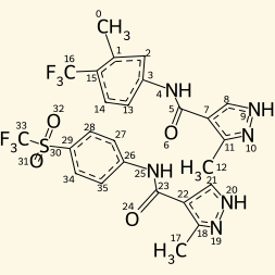 Cc1cc(NC(=O)c2c[nH]nc2C)ccc1C(F)(F)F.Cc1n[nH]cc1C(=O)Nc1ccc(S(=O)(=O)C(F)(F)F)cc1